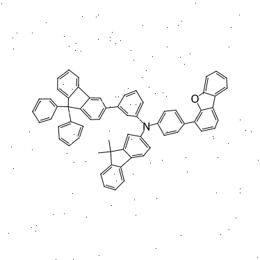 CC1(C)c2ccccc2-c2ccc(N(c3ccc(-c4cccc5c4oc4ccccc45)cc3)c3cccc(-c4ccc5c(c4)-c4ccccc4C5(c4ccccc4)c4ccccc4)c3)cc21